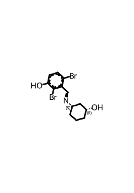 Oc1ccc(Br)c(C=N[C@H]2CCC[C@@H](O)C2)c1Br